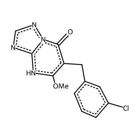 COc1[nH]c2ncnn2c(=O)c1Cc1cccc(Cl)c1